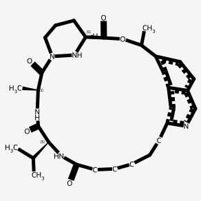 CC1OC(=O)[C@@H]2CCCN(N2)C(=O)[C@H](C)NC(=O)[C@H](C(C)C)NC(=O)CCCCCc2cc3cc1ccc3cn2